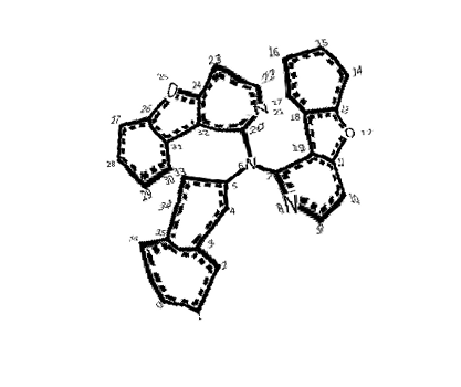 c1ccc2cc(N(c3nccc4oc5ccccc5c34)c3nccc4oc5ccccc5c34)ccc2c1